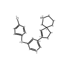 Clc1ccc(Oc2cncc(C3=CC4(CCCNC4)CC3)c2)cc1